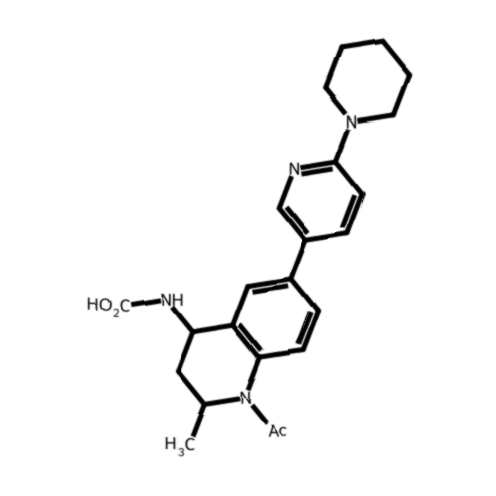 CC(=O)N1c2ccc(-c3ccc(N4CCCCC4)nc3)cc2C(NC(=O)O)CC1C